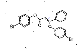 O=C(/C=C(\Oc1ccc(Br)cc1)c1ccccc1)Oc1ccc(Br)cc1